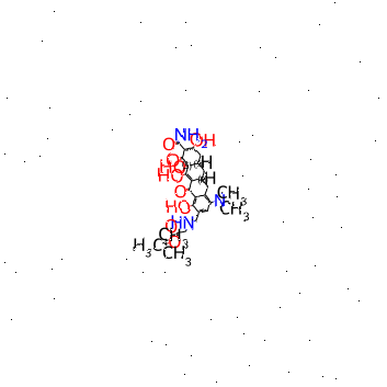 CN(C)c1cc(CNCC(=O)OC(C)(C)C)c(O)c2c1C[C@H]1C[C@H]3CC(O)=C(C(N)=O)C(=O)[C@@]3(O)C(O)=C1C2=O